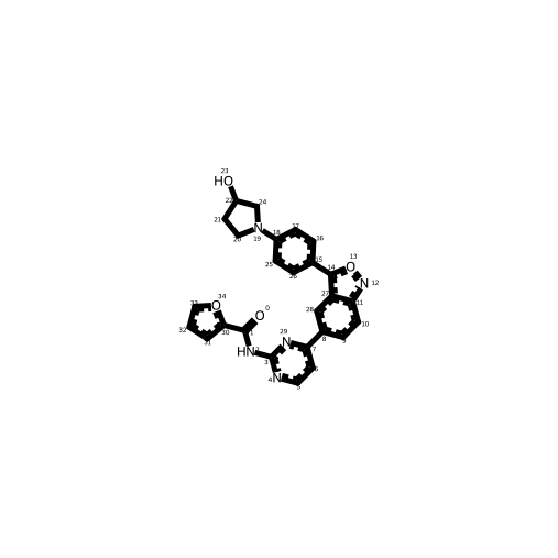 O=C(Nc1nccc(-c2ccc3noc(-c4ccc(N5CCC(O)C5)cc4)c3c2)n1)c1ccco1